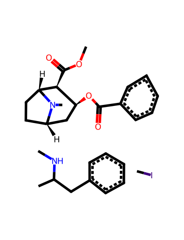 CI.CNC(C)Cc1ccccc1.COC(=O)[C@H]1[C@@H](OC(=O)c2ccccc2)C[C@@H]2CC[C@H]1N2C